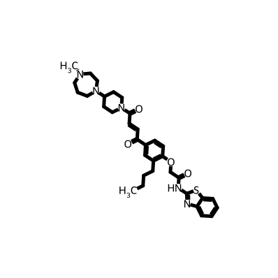 CCCCc1cc(C(=O)C=CC(=O)N2CCC(N3CCCN(C)CC3)CC2)ccc1OCC(=O)Nc1nc2ccccc2s1